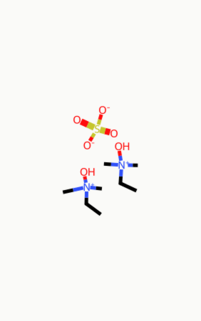 CC[N+](C)(C)O.CC[N+](C)(C)O.O=S(=O)([O-])[O-]